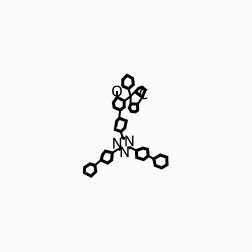 c1ccc(-c2ccc(-c3nc(-c4ccc(-c5ccccc5)cc4)nc(-c4ccc(-c5ccc6c(c5)C5(c7ccccc7O6)c6ccccc6-c6ccccc65)cc4)n3)cc2)cc1